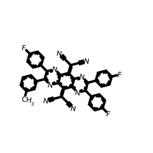 Cc1cccc(-c2nc3c(=C(C#N)C#N)c4nc(-c5ccc(F)cc5)c(-c5ccc(F)cc5)nc4c(=C(C#N)C#N)c3nc2-c2ccc(F)cc2)c1